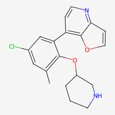 Cc1cc(Cl)cc(-c2ccnc3ccoc23)c1OC1CCCNC1